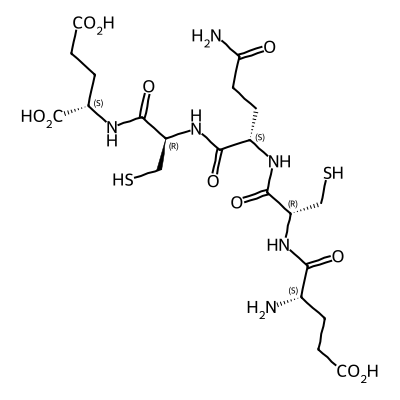 NC(=O)CC[C@H](NC(=O)[C@H](CS)NC(=O)[C@@H](N)CCC(=O)O)C(=O)N[C@@H](CS)C(=O)N[C@@H](CCC(=O)O)C(=O)O